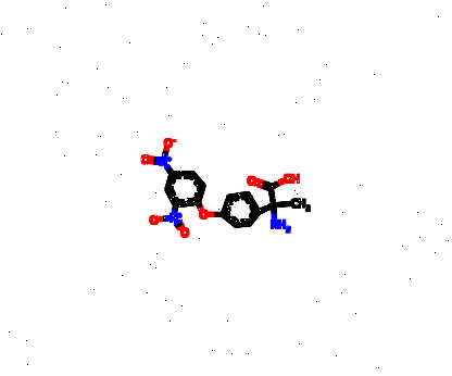 CC(N)(C(=O)O)c1ccc(Oc2ccc([N+](=O)[O-])cc2[N+](=O)[O-])cc1